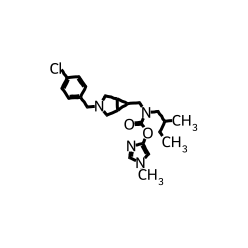 CCC(C)CN(CC1C2CN(Cc3ccc(Cl)cc3)CC21)C(=O)Oc1cn(C)cn1